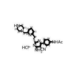 CC(=O)Nc1ccc(-c2nc(SCc3cccc(CN4CCNCC4)n3)nc(N)c2C#N)cc1.Cl